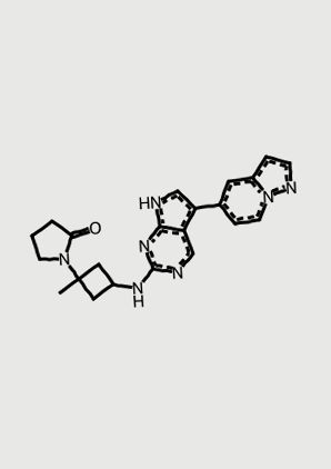 CC1(N2CCCC2=O)CC(Nc2ncc3c(-c4ccn5nccc5c4)c[nH]c3n2)C1